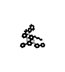 CCCCCc1cc(-c2cc(-c3ccccc3)ccc2Nc2cccc(-c3ccccc3)c2)c2c(c1)N1c3cc4c(cc3C(C)(C)c3cccc(c31)B2)C(C)(C)CCC4(C)C